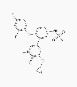 Cn1cc(-c2cc(NS(C)(=O)=O)ccc2Oc2ccc(F)cc2F)cc(OC2CC2)c1=O